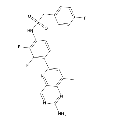 Cc1cc(-c2ccc(NS(=O)(=O)Cc3ccc(F)cc3)c(F)c2F)nc2cnc(N)nc12